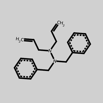 C=CCN(CC=C)N(Cc1ccccc1)Cc1ccccc1